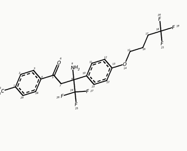 Cc1ccc(C(=O)CC(N)(c2ccc(OCCCC(F)(F)F)cc2)C(F)(F)F)cc1